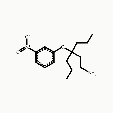 CCCC(CCC)(CCN)Oc1cccc([N+](=O)[O-])c1